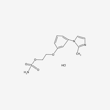 Cc1nccn1-c1cccc(OCCOS(N)(=O)=O)c1.Cl